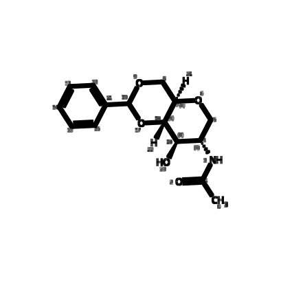 CC(=O)N[C@H]1[CH]O[C@@H]2COC(c3ccccc3)O[C@H]2[C@@H]1O